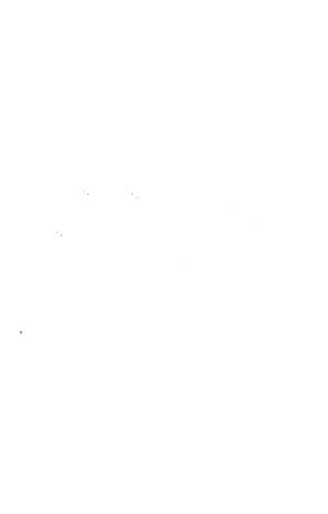 CCCc1cc(-c2cc(NCCc3c(C)sc4c(C)cc(F)cc34)ncn2)ccc1C(=O)O